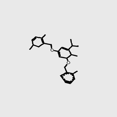 CC1=C(COC2=CC(OCc3cc#ccc3C)C(C)C(C(C)C)=C2)CC(C)C=C1